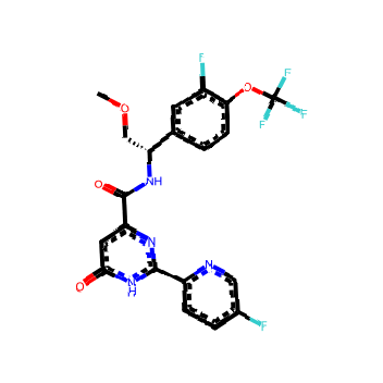 COC[C@@H](NC(=O)c1cc(=O)[nH]c(-c2ccc(F)cn2)n1)c1ccc(OC(F)(F)F)c(F)c1